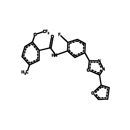 Cc1ccc(OC(F)(F)F)c(C(=O)Nc2cc(-c3nnc(-c4ccco4)o3)ccc2F)c1